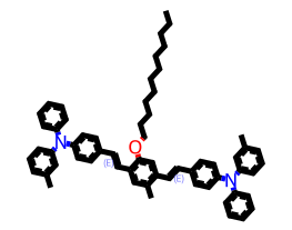 CCCCCCCCCCCCOc1cc(/C=C/c2ccc(N(c3ccccc3)c3cccc(C)c3)cc2)c(C)cc1/C=C/c1ccc(N(c2ccccc2)c2cccc(C)c2)cc1